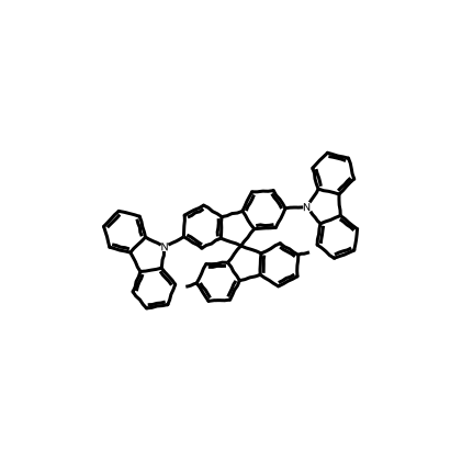 Cc1ccc2c(c1)C1(c3cc(C)ccc3-2)c2cc(-n3c4ccccc4c4ccccc43)ccc2-c2ccc(-n3c4ccccc4c4ccccc43)cc21